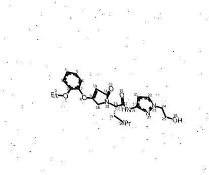 CCOc1ccccc1OC1=CC(=O)N([C@@H](CC(C)C)C(=O)Nc2ccn(CCO)n2)C1